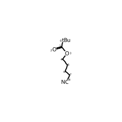 CC(C)(C)C(=O)OCCCCC#N